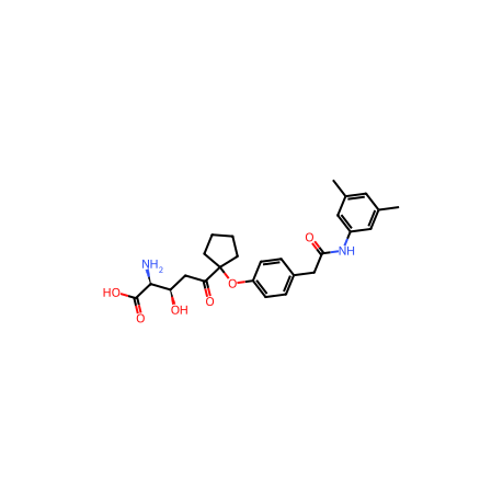 Cc1cc(C)cc(NC(=O)Cc2ccc(OC3(C(=O)C[C@@H](O)[C@H](N)C(=O)O)CCCC3)cc2)c1